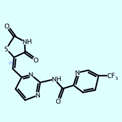 O=C1NC(=O)/C(=C\c2ccnc(NC(=O)c3ccc(C(F)(F)F)cn3)n2)S1